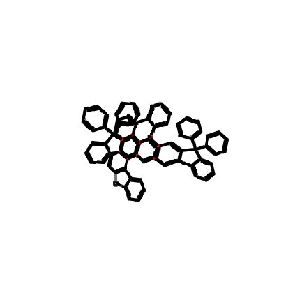 c1ccc(C2(c3ccccc3)c3ccccc3-c3ccc(N(c4ccc5c(c4)C(c4ccccc4)(c4ccccc4)c4ccccc4-5)c4ccccc4-c4cccc5c6ccc7oc8ccccc8c7c6c6ccccc6c45)cc32)cc1